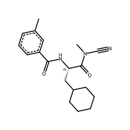 Cc1cccc(C(=O)N[C@@H](CC2CCCCC2)C(=O)N(C)C#N)c1